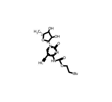 C#Cc1cn([C@@H]2O[C@H](C)C(O)C2O)c(=O)nc1NC(=O)OCCC(C)(C)C